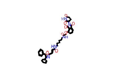 O=C(C=Cc1nc(-c2ccccc2)c(-c2ccccc2)o1)NCCCCCCNC(=O)COc1cccc2c1C(=O)N(C1CCC(=O)NC1=O)C2=O